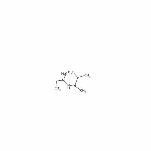 CCN(C)NN(C)C(C)C